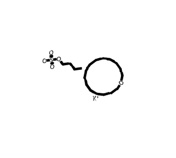 C1CCCCCCCOCCCCCCC1.CCCCOS(=O)(=O)[O-].[K+]